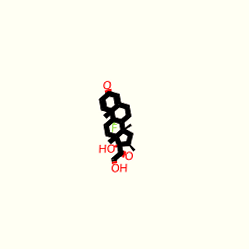 C[C@@H]1C[C@@]2(C)C3CCC4=CC(=O)C=CC4(C)[C@@]3(F)CCC2(C)[C@@]1(O)C(=O)CO